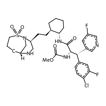 COC(=O)N[C@H](C(=O)N[C@H]1CCCC[C@@H]1CC[C@H]1CN[C@@H]2CCCS(=O)(=O)N1C2)[C@H](c1cncc(F)c1)c1ccc(Cl)c(F)c1